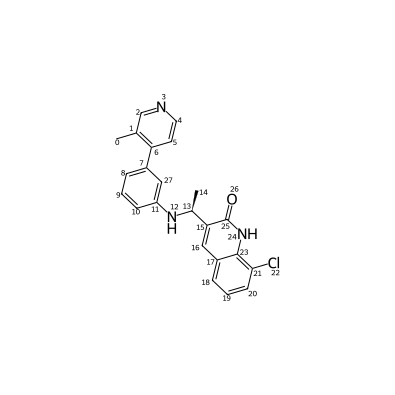 Cc1cnccc1-c1cccc(N[C@@H](C)c2cc3cccc(Cl)c3[nH]c2=O)c1